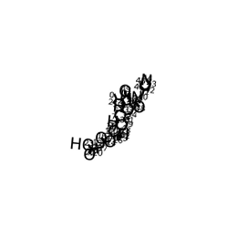 CC(C)C1=C2[C@H]3CC[C@@H]4[C@@]5(C)CC[C@H](OC(=O)CC(C)(C)C(=O)O)C(C)(C)[C@@H]5CC[C@@]4(C)[C@]3(C)CC[C@@]2(C(=O)NCc2ccncc2)CC1=O